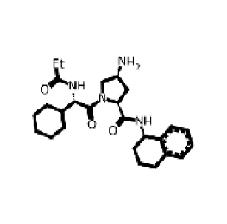 C[CH]C(=O)N[C@H](C(=O)N1C[C@@H](N)C[C@H]1C(=O)N[C@@H]1CCCc2ccccc21)C1CCCCC1